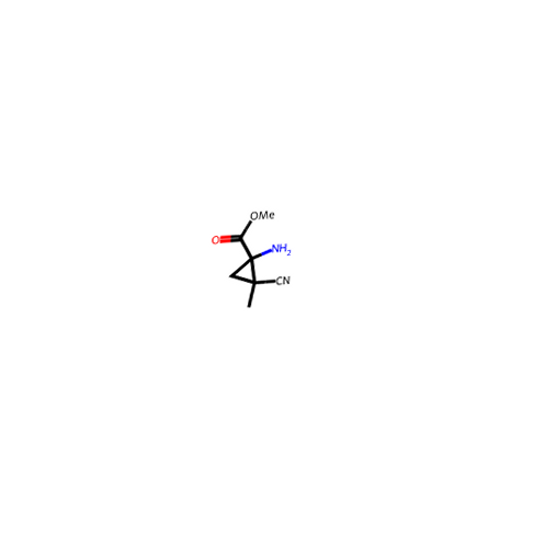 COC(=O)C1(N)CC1(C)C#N